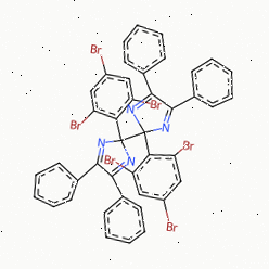 Brc1cc(Br)c(C2(C3(c4c(Br)cc(Br)cc4Br)N=C(c4ccccc4)C(c4ccccc4)=N3)N=C(c3ccccc3)C(c3ccccc3)=N2)c(Br)c1